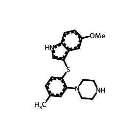 COc1ccc2[nH]cc(Sc3ccc(C)cc3N3CCNCC3)c2c1